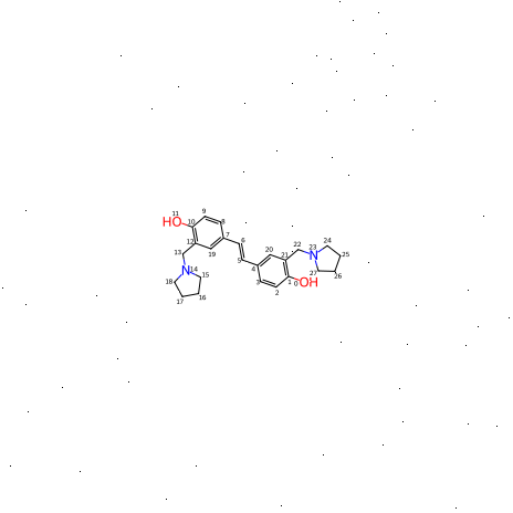 Oc1ccc(C=Cc2ccc(O)c(CN3CCCC3)c2)cc1CN1CCCC1